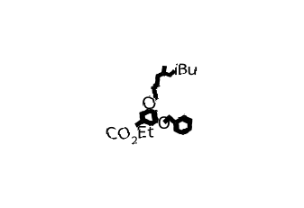 CCOC(=O)c1c(C)cc(OCCCCC(C)CC(C)CC)cc1OCc1ccccc1